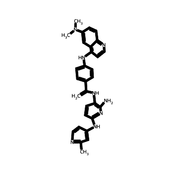 C=C(Nc1ccc(Nc2ccnc(C)c2)nc1N)c1ccc(Nc2ccnc3ccc(N(C)C)cc23)cc1